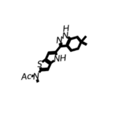 CC(=O)N(C)c1cc2[nH]c(-c3n[nH]c4c3CCC(C)(C)C4)cc2s1